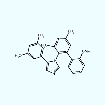 COc1ccccc1-c1cc(C)nc(C)c1-n1cncc1-c1cc(C)cc(C)c1